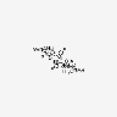 CN[C@@H](C)C(=O)NC(C(=O)N1C[C@@H](F)C[C@H]1Cc1c(-c2nc3cc(F)ccc3n2C[C@@H]2C[C@H](F)CN2C(=O)[C@@H](NC(=O)[C@H](C)NC)C(C)C)[nH]c2cc(F)ccc12)C1CC1